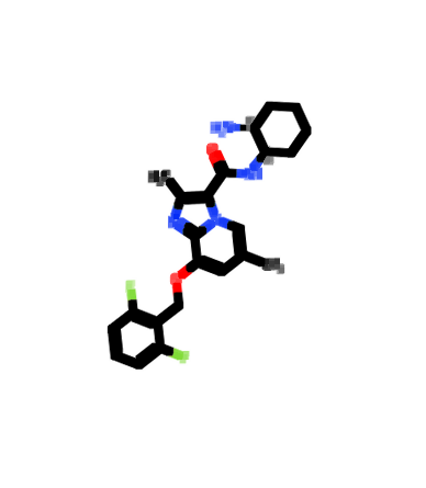 Cc1cc(OCc2c(F)cccc2F)c2nc(C)c(C(=O)N[C@@H]3CCCC[C@H]3N)n2c1